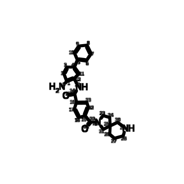 Nc1ccc(-c2ccccc2)cc1NC(=O)c1ccc(C(=O)N2CCC3(CCCNC3)C2)cc1